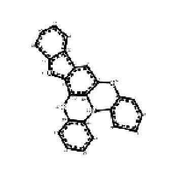 c1ccc2c(c1)Oc1cc3c(oc4ccccc43)c3c1N2c1ccccc1O3